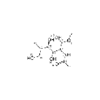 COC(O)C(NC(C)=O)C(O)[C@H](O)C(C)CO